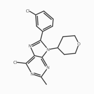 Cc1nc(Cl)c2nc(-c3cccc(Cl)c3)n(C3CCOCC3)c2n1